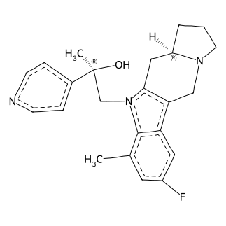 Cc1cc(F)cc2c3c(n(C[C@](C)(O)c4ccncc4)c12)C[C@H]1CCCN1C3